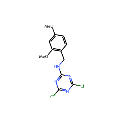 COc1ccc(CNc2nc(Cl)nc(Cl)n2)c(OC)c1